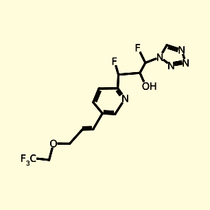 OC(C(F)c1ccc(C=CCOCC(F)(F)F)cn1)C(F)n1cnnn1